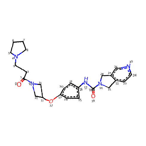 O=C(CCN1CCCC1)N1CC(Oc2ccc(NC(=O)N3Cc4ccncc4C3)cc2)C1